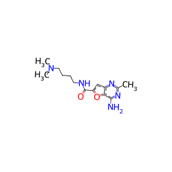 Cc1nc(N)c2oc(C(=O)NCCCCN(C)C)cc2n1